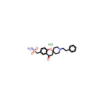 Cl.NS(=O)(=O)Cc1ccc2c(c1)C(=O)CC1(CCN(CCc3ccccc3)CC1)O2